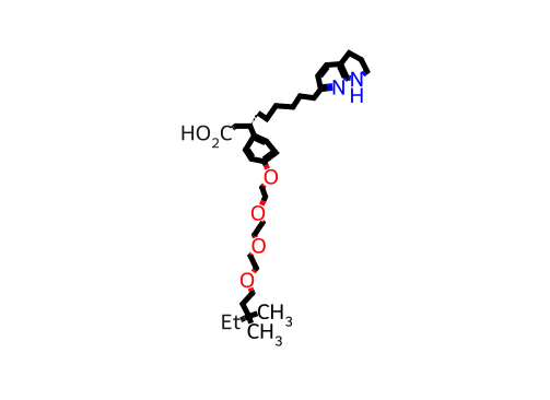 CCC(C)(C)CCOCCOCCOCCOc1ccc([C@@H](CCCCCCc2ccc3c(n2)NCCC3)CC(=O)O)cc1